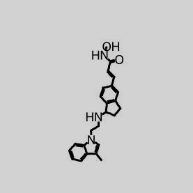 Cc1cn(CCNC2CCc3cc(/C=C/C(=O)NO)ccc32)c2ccccc12